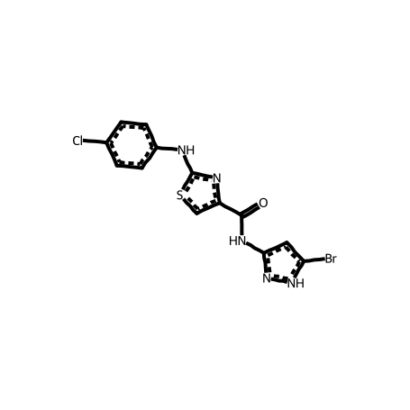 O=C(Nc1cc(Br)[nH]n1)c1csc(Nc2ccc(Cl)cc2)n1